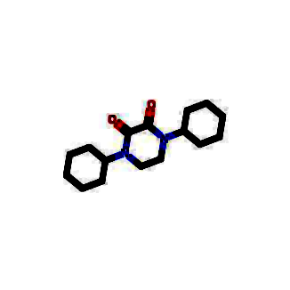 O=C1C(=O)N(C2CCCCC2)CCN1C1CCCCC1